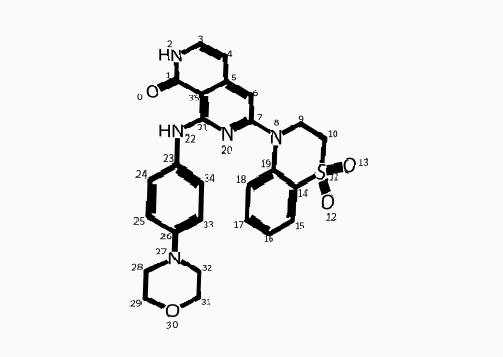 O=c1[nH]ccc2cc(N3CCS(=O)(=O)c4ccccc43)nc(Nc3ccc(N4CCOCC4)cc3)c12